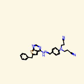 N#CCCN(CCC#N)c1ccc(C=NNc2ncnc3sc(Cc4ccccc4)cc23)cc1